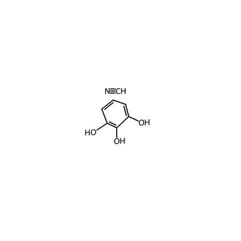 C#N.Oc1cccc(O)c1O